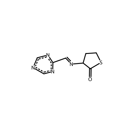 O=C1SCCC1N=Cc1ncncn1